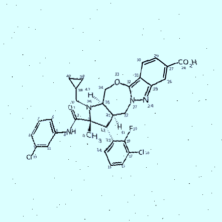 C[C@]1(C(=O)Nc2cccc(Cl)c2)[C@@H](c2cccc(Cl)c2F)[C@@H]2Cn3nc4cc(C(=O)O)ccc4c3OC[C@@H]2N1CC1CC1